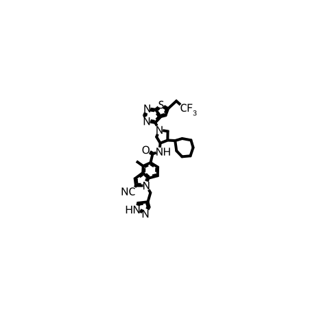 Cc1c(C(=O)NC2CN(c3ncnc4sc(CC(F)(F)F)cc34)CC2C2CCCCCC2)ccc2c1cc(C#N)n2Cc1cn[nH]c1